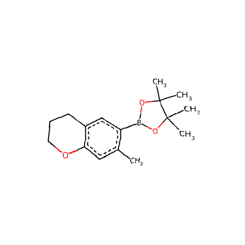 Cc1cc2c(cc1B1OC(C)(C)C(C)(C)O1)CCCO2